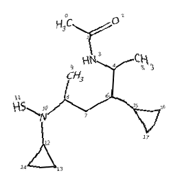 CC(=O)NC(C)C(CC(C)N(S)C1CC1)C1CC1